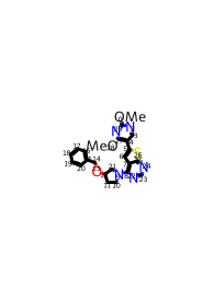 COc1ncc(-c2cc3c(N4CCC(OCc5ccccc5)C4)ncnc3s2)c(OC)n1